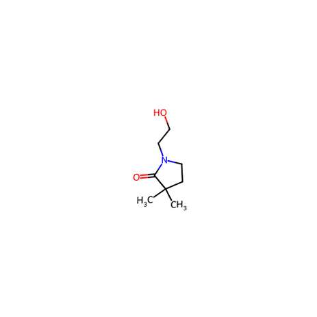 CC1(C)CCN(CCO)C1=O